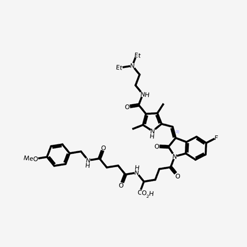 CCN(CC)CCNC(=O)c1c(C)[nH]c(/C=C2\C(=O)N(C(=O)CCC(NC(=O)CCC(=O)NCc3ccc(OC)cc3)C(=O)O)c3ccc(F)cc32)c1C